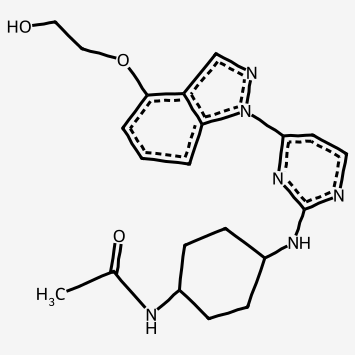 CC(=O)NC1CCC(Nc2nccc(-n3ncc4c(OCCO)cccc43)n2)CC1